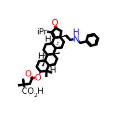 CC(C)C1=C2[C@H]3CC[C@@H]4[C@@]5(C)CC[C@H](OC(=O)CC(C)(C)C(=O)O)C(C)(C)[C@@H]5CC[C@@]4(C)[C@]3(C)CC[C@@]2(CCNCc2ccccc2)CC1=O